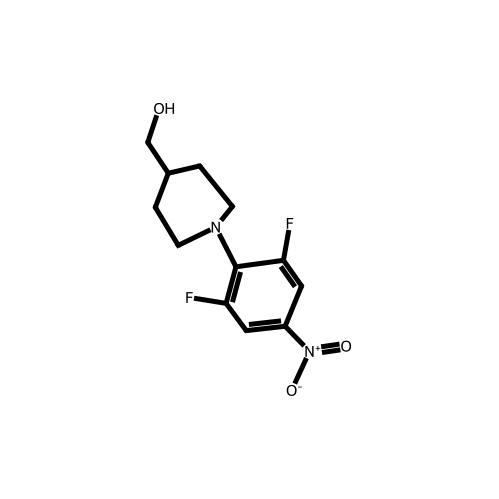 O=[N+]([O-])c1cc(F)c(N2CCC(CO)CC2)c(F)c1